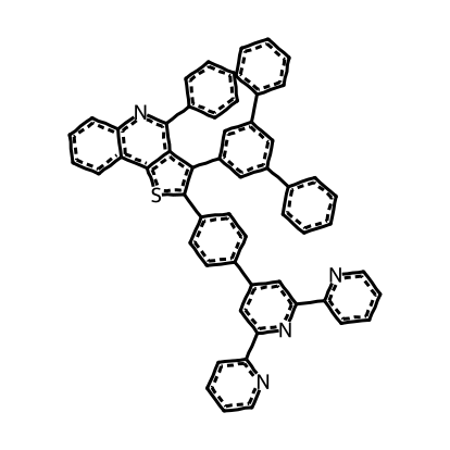 c1ccc(-c2cc(-c3ccccc3)cc(-c3c(-c4ccc(-c5cc(-c6ccccn6)nc(-c6ccccn6)c5)cc4)sc4c3c(-c3ccccc3)nc3ccccc34)c2)cc1